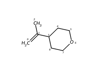 C=C(C)C1CCOCC1